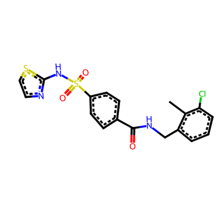 Cc1c(Cl)cccc1CNC(=O)c1ccc(S(=O)(=O)Nc2nccs2)cc1